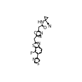 N#CC1(NC(=O)Cc2nnc(Cc3nc4ccc(-c5cscn5)c(F)c4s3)o2)CC1